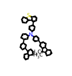 CC1(C)c2ccccc2-c2ccc(-c3ccc(N(c4ccc(-c5cccc6sc7ccccc7c56)cc4)c4cccc(-c5cccc(-c6cccc7ccccc67)c5)c4)cc3)cc21